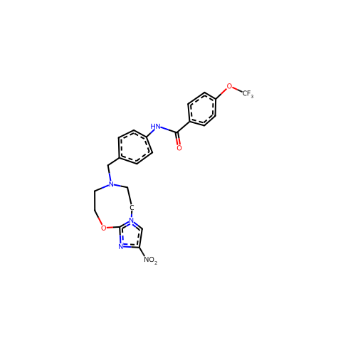 O=C(Nc1ccc(CN2CCOc3nc([N+](=O)[O-])cn3CC2)cc1)c1ccc(OC(F)(F)F)cc1